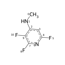 CNc1cc(F)nc(F)c1F